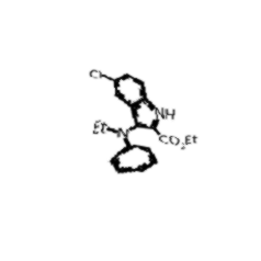 CCOC(=O)c1[nH]c2ccc(Cl)cc2c1N(CC)c1ccccc1